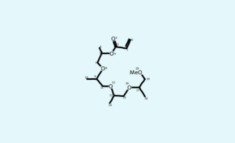 C=CC(=O)OC(C)COC(C)COC(C)COC(C)COC